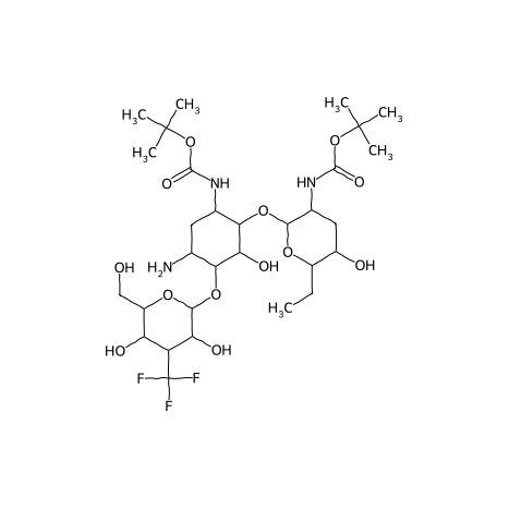 CCC1OC(OC2C(NC(=O)OC(C)(C)C)CC(N)C(OC3OC(CO)C(O)C(C(F)(F)F)C3O)C2O)C(NC(=O)OC(C)(C)C)CC1O